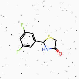 O=C1CSC(c2cc(F)cc(F)c2)N1